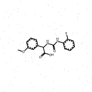 COc1cccc(C(NC(=O)Nc2ccccc2F)C(=O)O)c1